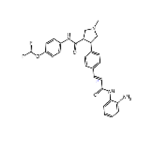 CN1CC(C(=O)Nc2ccc(OC(F)F)cc2)C(c2ccc(/C=C/C(=O)Nc3ccccc3N)cc2)C1